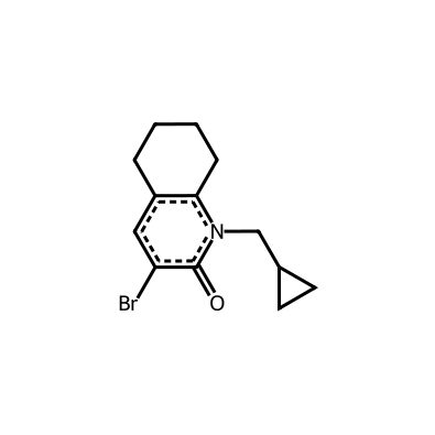 O=c1c(Br)cc2c(n1CC1CC1)CCCC2